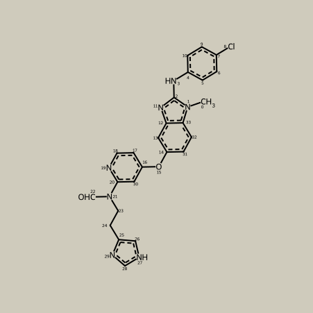 Cn1c(Nc2ccc(Cl)cc2)nc2cc(Oc3ccnc(N(C=O)CCc4c[nH]cn4)c3)ccc21